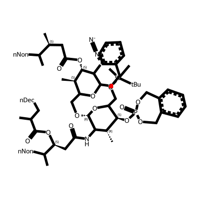 CCCCCCCCCCCC(C)C(=O)O[C@@H](CC(=O)NC1[C@H](OCC2OC(O[Si](C)(C)C(C)(C)C)C(N=[N+]=[N-])[C@@H](OC(=O)C[C@H](C)C(C)CCCCCCCCC)[C@@H]2C)OC(COCc2ccccc2)[C@@H](OP2(=O)OCc3ccccc3CO2)[C@@H]1C)C(C)CCCCCCCCC